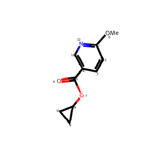 COc1ccc(C(=O)OC2CC2)cn1